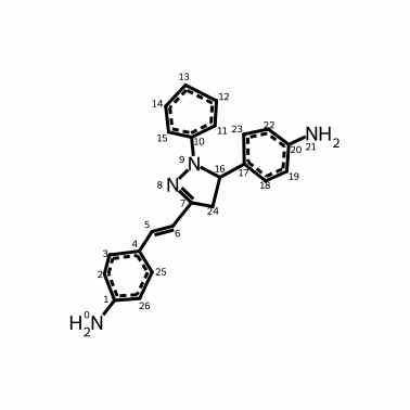 Nc1ccc(C=CC2=NN(c3ccccc3)C(c3ccc(N)cc3)C2)cc1